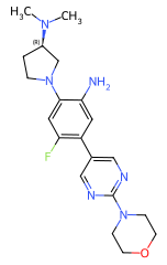 CN(C)[C@@H]1CCN(c2cc(F)c(-c3cnc(N4CCOCC4)nc3)cc2N)C1